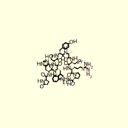 CCNC(=O)[C@@H]1CCCN1C(=O)[C@H](CCCN=C(N)N)NC(=O)[C@H](CC(C)C)NC(=O)[C@@H](C)NC(=O)[C@H](Cc1ccc(O)cc1)NC(=O)C(CO)NC(=O)[C@H](Cc1c[nH]c2ccccc12)NC(=O)[C@H](Cc1cnc[nH]1)NC(=O)C1CCC(=O)N1